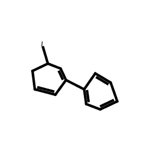 IC1C=C(c2ccccc2)C=CC1